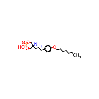 CCCCCCCOc1ccc(CCCC2(N)COP(=O)(O)OC2)cc1